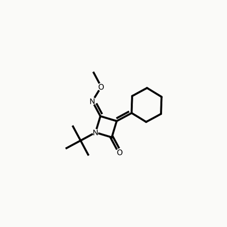 CO/N=C1\C(=C2CCCCC2)C(=O)N1C(C)(C)C